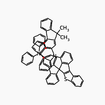 CC1(C)c2ccccc2-c2ccc(N(c3ccccc3-c3ccccc3)c3cccc4c3C3(c5ccccc5-c5cc(N(c6ccccc6)c6ccccc6)ccc53)c3sc5ccccc5c3-4)cc21